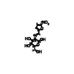 O=[N+]([O-])c1ccc(C=N[C@H]2[C@@H](O)[C@@H](O)[C@@H](CO)O[C@@H]2O)o1